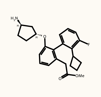 COC(=O)Cc1cccc(O[C@@H]2CC[C@@H](N)C2)c1-c1cccc(F)c1C1CCC1